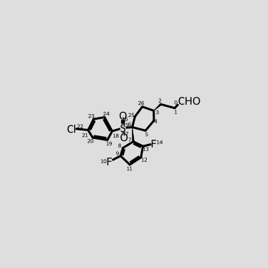 O=CCC[C@H]1CC[C@](c2cc(F)ccc2F)(S(=O)(=O)c2ccc(Cl)cc2)CC1